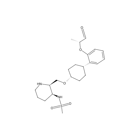 C[C@H](C=O)Oc1ccccc1[C@H]1CC[C@@H](OC[C@@H]2NCCC[C@@H]2NS(C)(=O)=O)CC1